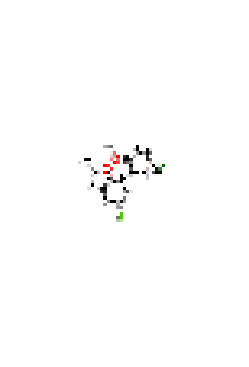 [CH2]C1Cc2cc(F)cc(-c3cc(Cl)ccc3OC)c2O1